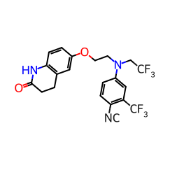 [C-]#[N+]c1ccc(N(CCOc2ccc3c(c2)CCC(=O)N3)CC(F)(F)F)cc1C(F)(F)F